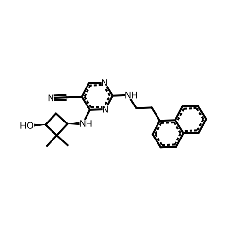 CC1(C)[C@@H](O)C[C@H]1Nc1nc(NCCc2cccc3ccccc23)ncc1C#N